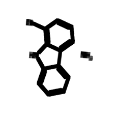 CCc1cccc2c1[nH]c1ccccc12.N